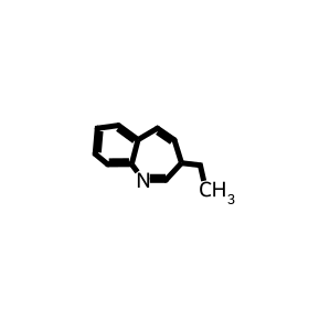 CCC1C=Cc2ccccc2N=C1